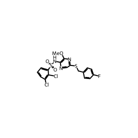 COc1nc(SCc2ccc(F)cc2)cnc1NS(=O)(=O)c1cccc(Cl)c1Cl